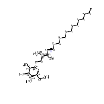 CCCCCCCCCCCCC/C=C/[C@@H](O)[C@@H](N)CO[C@@H]1OC(CO)[C@H](O)C(O)C1O